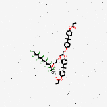 C=CC(=O)Oc1ccc(C(C)(C)c2ccc(OCC(COCCCOC(F)(/C(F)=C(F)/C(F)=C(F)/C(F)=C(F)/C(F)=C(\F)CF)C(F)(F)C(F)(F)F)Oc3ccc(C(C)(C)c4ccc(OC(=O)C=C)cc4)cc3)cc2)cc1